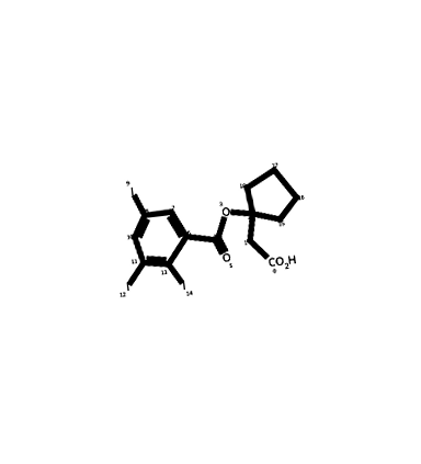 O=C(O)CC1(OC(=O)c2cc(I)cc(I)c2I)CCCC1